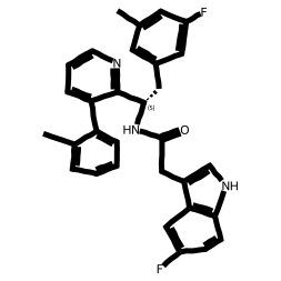 Cc1cc(F)cc(C[C@H](NC(=O)Cc2c[nH]c3ccc(F)cc23)c2ncccc2-c2ccccc2C)c1